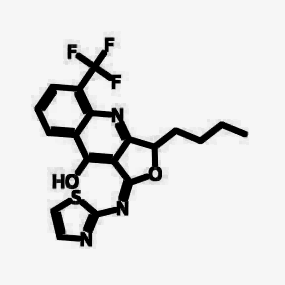 CCCCC1O/C(=N/c2nccs2)c2c1nc1c(C(F)(F)F)cccc1c2O